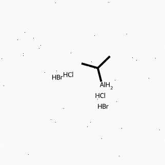 Br.Br.C[CH](C)[AlH2].Cl.Cl